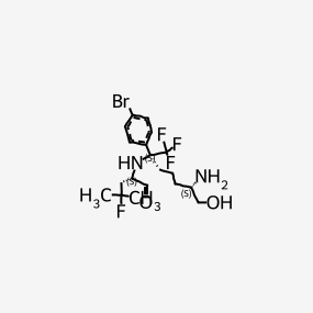 CC(C)(F)C[C@@H](C=O)N[C@@](CCC[C@H](N)CO)(c1ccc(Br)cc1)C(F)(F)F